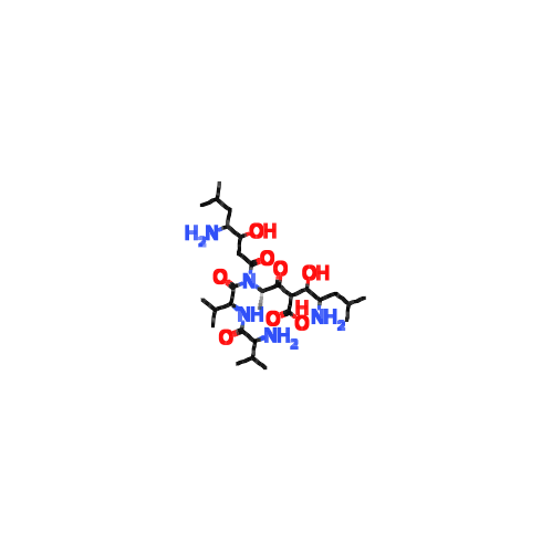 CC(C)CC(N)C(O)CC(=O)N(C(=O)[C@@H](NC(=O)[C@@H](N)C(C)C)C(C)C)[C@@H](C)C(=O)C(C(=O)O)C(O)C(N)CC(C)C